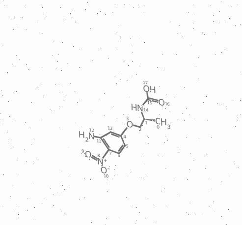 C[C@@H](COc1ccc([N+](=O)[O-])c(N)c1)NC(=O)O